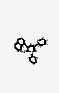 O=CC1C(c2cccc3ccccc23)=CC(c2ccccn2)=CN1c1cccnc1